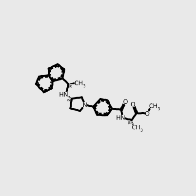 COC(=O)[C@H](C)NC(=O)c1ccc(N2CC[C@H](N[C@H](C)c3cccc4ccccc34)C2)cc1